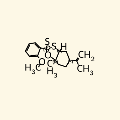 C=C(C)[C@H]1CC[C@@]2(C)O[P@@](=S)(c3ccccc3OC)S[C@@H]2C1